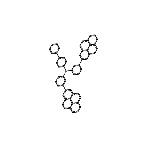 c1ccc(-c2ccc(N(c3cccc(-c4cc5ccc6cccc7ccc(c4)c5c67)c3)c3cccc(-c4cc5ccc6cccc7ccc(c4)c5c67)c3)cc2)cc1